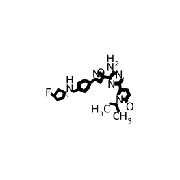 CCC(CC)n1cc(-c2cnc(N)c(-c3cc(-c4ccc(CN[C@@H]5CCC(F)C5)cc4)no3)n2)ccc1=O